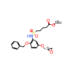 CC(C)(C)OC(=O)CCCCS(=O)(=O)Nc1cc(OC[C@@H]2CO2)ccc1OCc1ccccc1